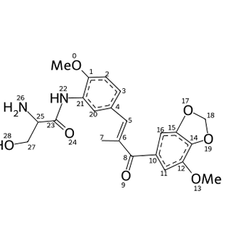 COc1ccc(C=C(C)C(=O)c2cc(OC)c3c(c2)OCO3)cc1NC(=O)C(N)CO